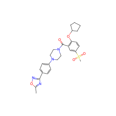 Cc1nc(-c2ccc(N3CCN(C(=O)c4cc(S(C)(=O)=O)ccc4OC4CCCC4)CC3)cc2)no1